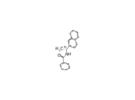 C[C@@H](NC(=O)c1ccccc1)c1ccc2ccccc2c1